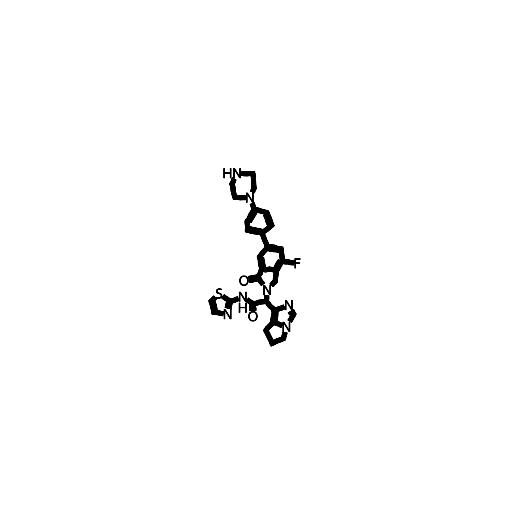 O=C(Nc1nccs1)C(c1ncn2c1CCC2)N1Cc2c(F)cc(-c3ccc(N4CCNCC4)cc3)cc2C1=O